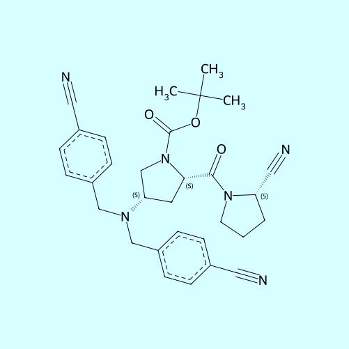 CC(C)(C)OC(=O)N1C[C@@H](N(Cc2ccc(C#N)cc2)Cc2ccc(C#N)cc2)C[C@H]1C(=O)N1CCC[C@H]1C#N